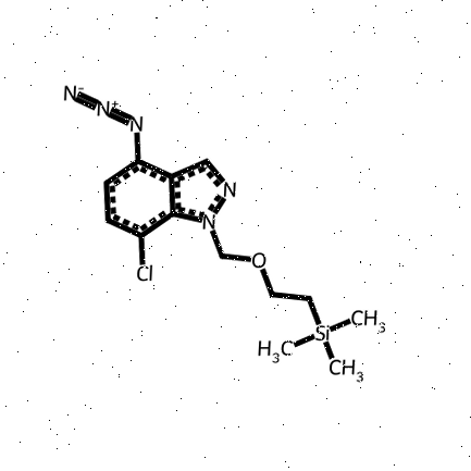 C[Si](C)(C)CCOCn1ncc2c(N=[N+]=[N-])ccc(Cl)c21